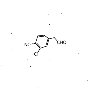 N#Cc1ccc(CC=O)cc1Cl